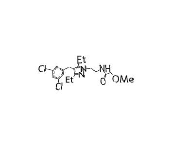 CCc1nn(CCNC(=O)COC)c(CC)c1Cc1cc(Cl)cc(Cl)c1